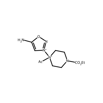 CCOC(=O)N1CC[N+](C(C)=O)([n+]2cc(N)on2)CC1